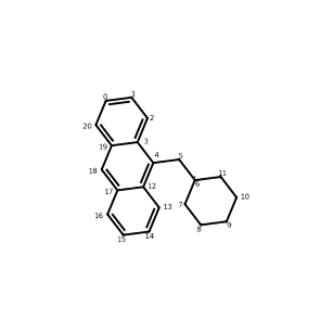 c1ccc2c(C[C]3CCCCC3)c3ccccc3cc2c1